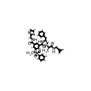 C[C@H](NC[C@H](Cc1ccccc1)NC(=O)c1cc(C(=O)NCc2nccs2)cc(N(C)S(=O)(=O)c2ccccc2)c1)C(=O)NCC1CC1